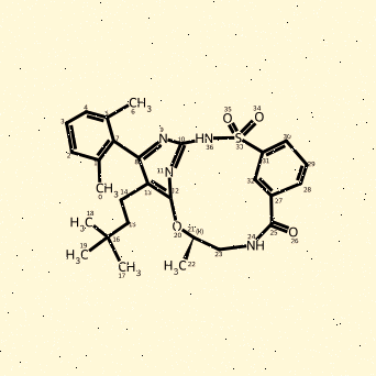 Cc1cccc(C)c1-c1nc2nc(c1CCC(C)(C)C)O[C@H](C)CNC(=O)c1cccc(c1)S(=O)(=O)N2